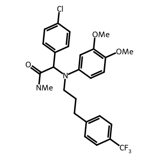 CNC(=O)C(c1ccc(Cl)cc1)N(CCCc1ccc(C(F)(F)F)cc1)c1ccc(OC)c(OC)c1